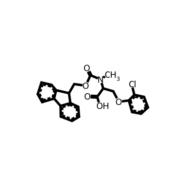 CN(C(=O)OCC1c2ccccc2-c2ccccc21)C(COc1ccccc1Cl)C(=O)O